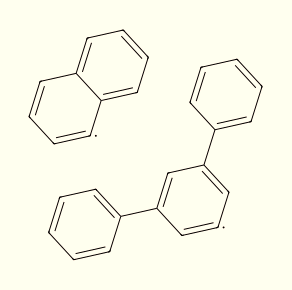 [c]1cc(-c2ccccc2)cc(-c2ccccc2)c1.[c]1cccc2ccccc12